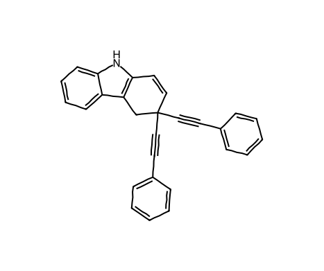 C(#CC1(C#Cc2ccccc2)C=Cc2[nH]c3ccccc3c2C1)c1ccccc1